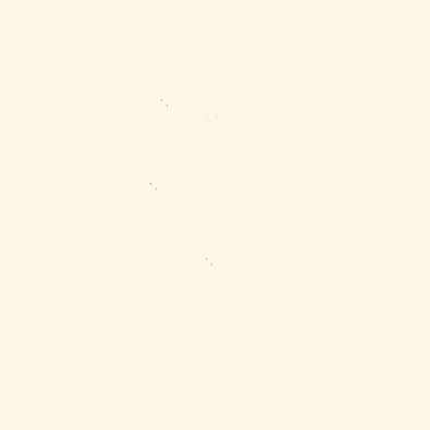 CCOC(=O)NC1CCCCC(N2CCC3(CC2)CN(C(=O)Oc2ccc(F)cc2)c2ccc(F)cc23)C1